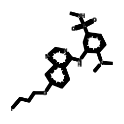 CNS(=O)(=O)c1ccc(N(C)C)c(Nc2ncnc3cc(OCCCI)ccc23)c1